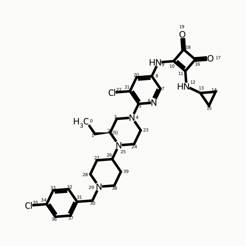 CC[C@H]1CN(c2ncc(Nc3c(NC4CC4)c(=O)c3=O)cc2Cl)CCN1C1CCN(Cc2ccc(Cl)cc2)CC1